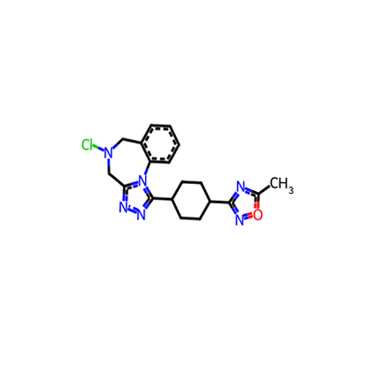 Cc1nc(C2CCC(c3nnc4n3-c3ccccc3CN(Cl)C4)CC2)no1